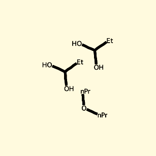 CCC(O)O.CCC(O)O.CCCOCCC